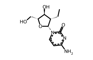 CC[C@H]1[C@H](O)[C@@H](CO)O[C@H]1n1ccc(N)nc1=O